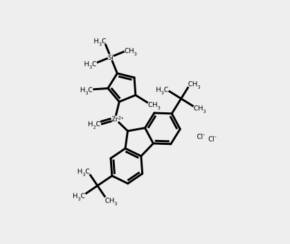 [CH2]=[Zr+2]([C]1=C(C)C([Si](C)(C)C)=CC1C)[CH]1c2cc(C(C)(C)C)ccc2-c2ccc(C(C)(C)C)cc21.[Cl-].[Cl-]